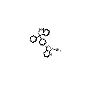 NSC(c1ccccc1)(c1ccccc1)c1ccccc1.NSc1ncccc1[N+](=O)[O-]